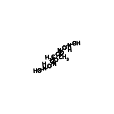 Cc1c(-c2ccc3nc(-c4ccc(CNCCO)cc4)oc3c2C)ccc2nc(-c3ccc(CNCCO)cc3)oc12